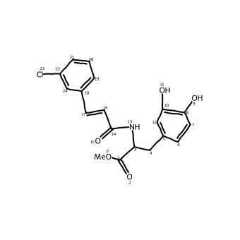 COC(=O)C(Cc1ccc(O)c(O)c1)NC(=O)C=Cc1cccc(Cl)c1